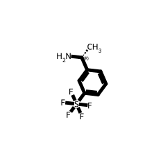 C[C@@H](N)c1cccc(S(F)(F)(F)(F)F)c1